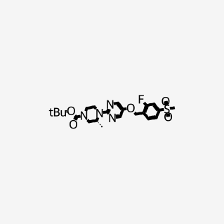 C[C@@H]1CN(C(=O)OC(C)(C)C)CCN1c1ncc(OCc2ccc(S(C)(=O)=O)cc2F)cn1